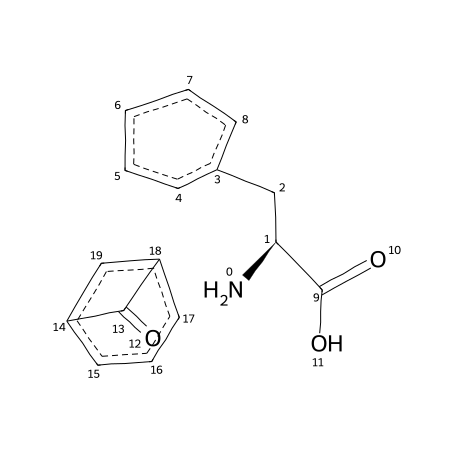 N[C@@H](Cc1ccccc1)C(=O)O.O=C1c2cccc1c2